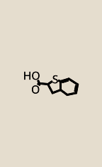 O=C(O)C1CC2CC=CC=C2S1